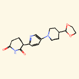 O=C1CCC(c2ccc(N3CCC(C4OCCO4)CC3)cn2)C(=O)N1